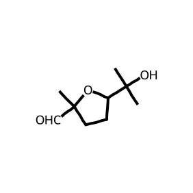 CC1(C=O)CCC(C(C)(C)O)O1